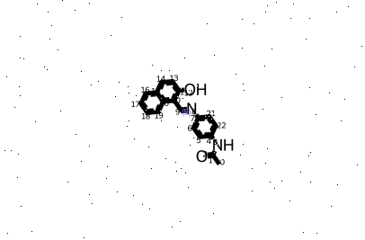 CC(=O)Nc1ccc(/N=C/c2c(O)ccc3ccccc23)cc1